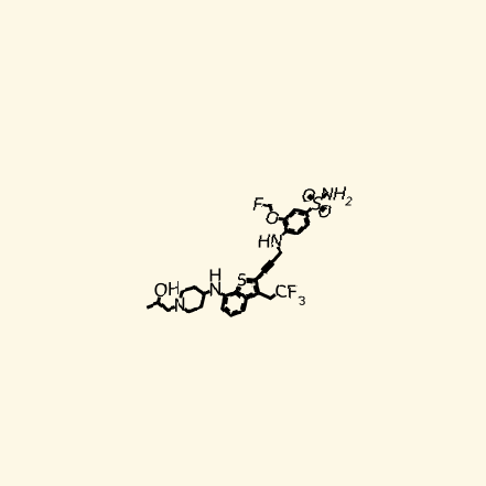 CC(O)CN1CCC(Nc2cccc3c(CC(F)(F)F)c(C#CCNc4ccc(S(N)(=O)=O)cc4OCF)sc23)CC1